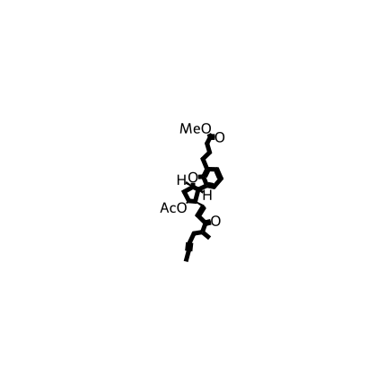 CC#CCC(C)C(=O)/C=C/[C@@H]1[C@H]2c3cccc(CCCC(=O)OC)c3O[C@H]2C[C@H]1OC(C)=O